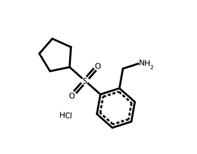 Cl.NCc1ccccc1S(=O)(=O)C1CCCC1